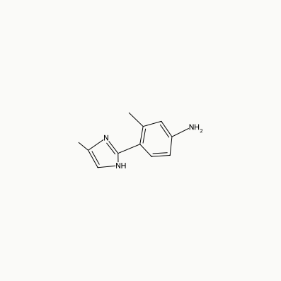 Cc1c[nH]c(-c2ccc(N)cc2C)n1